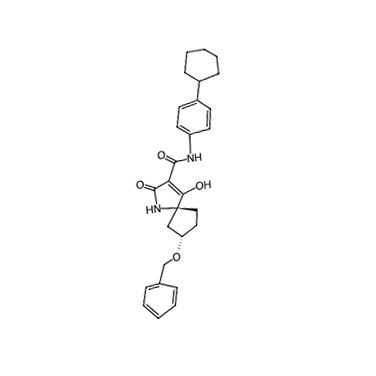 O=C(Nc1ccc(C2CCCCC2)cc1)C1=C(O)[C@@]2(CC[C@H](OCc3ccccc3)C2)NC1=O